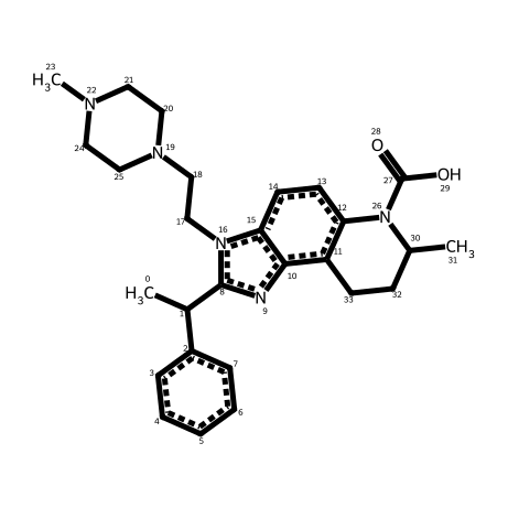 CC(c1ccccc1)c1nc2c3c(ccc2n1CCN1CCN(C)CC1)N(C(=O)O)C(C)CC3